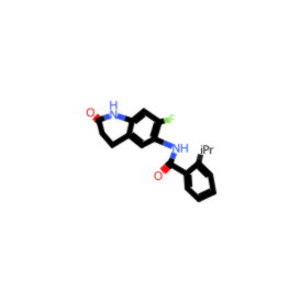 CC(C)c1ccccc1C(=O)Nc1cc2c(cc1F)NC(=O)CC2